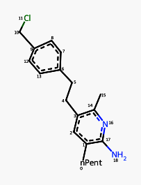 CCCCCc1cc(CCc2ccc(CCl)cc2)c(C)nc1N